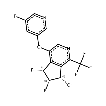 O[C@H]1c2c(C(F)(F)F)ncc(Oc3cncc(F)c3)c2[C@@H](F)[C@H]1F